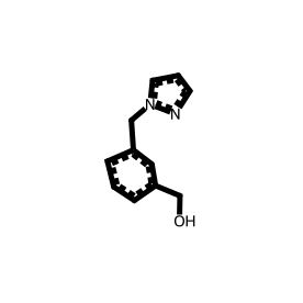 OCc1cccc(Cn2cccn2)c1